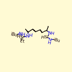 CCC(C)N[SiH](C)NC(C)CCCCC(C)N[SiH](CC)NC(C)CC